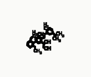 CCc1cccc(CC)c1-c1cc(C(O)CO)c(COc2cc(C(C)C)ccc2C)c(C)n1